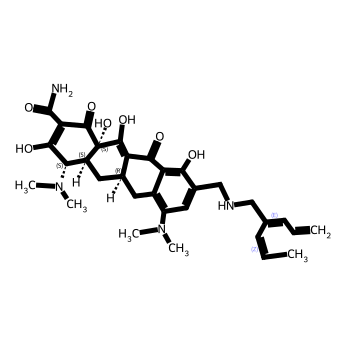 C=C/C=C(\C=C/C)CNCc1cc(N(C)C)c2c(c1O)C(=O)C1=C(O)[C@]3(O)C(=O)C(C(N)=O)=C(O)[C@@H](N(C)C)[C@@H]3C[C@@H]1C2